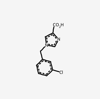 O=C(O)c1cn(Cc2cccc(Cl)c2)cn1